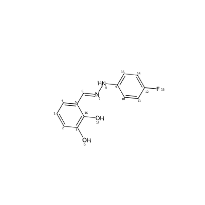 Oc1cccc(C=NNc2ccc(F)cc2)c1O